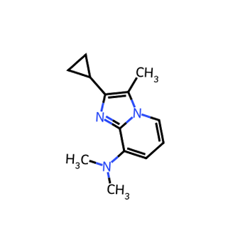 Cc1c(C2CC2)nc2c(N(C)C)cccn12